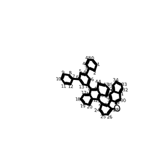 c1ccc(-c2cc(-c3ccccc3)cc(-c3c4ccccc4c(-c4cccc5oc6cc7ccccc7cc6c45)c4ccccc34)c2)cc1